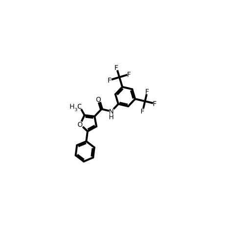 Cc1oc(-c2ccccc2)cc1C(=O)Nc1cc(C(F)(F)F)cc(C(F)(F)F)c1